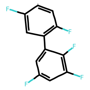 Fc1[c]cc(F)c(-c2cc(F)cc(F)c2F)c1